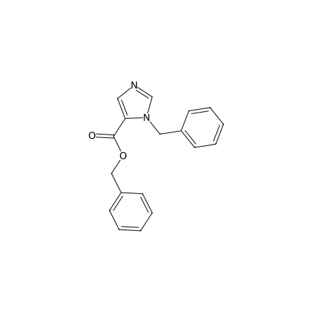 O=C(OCc1ccccc1)c1cncn1Cc1ccccc1